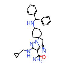 N#CC[C@]1(n2cc(C(N)=O)c(NCC3CC3)n2)CC[C@H](NC(c2ccccc2)c2ccccc2)CC1